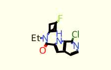 CCN(C(=O)c1cc2ccnc(Cl)c2[nH]1)C12CC(F)(C1)C2